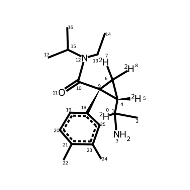 [2H]C(C)(N)[C@@]1([2H])C([2H])([2H])[C@]1(C(=O)N(CC)C(C)C)c1ccc(C)c(C)c1